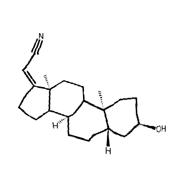 C[C@]12CCC3[C@@H](CC[C@H]4C[C@H](O)CC[C@]34C)C1CC/C2=C/C#N